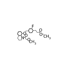 CCOC(=O)CCc1ccc(COc2cccc3c2N(C(=O)COC)CCC3)cc1F